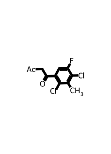 CC(=O)CC(=O)c1cc(F)c(Cl)c(C)c1Cl